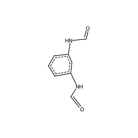 O=CNc1cccc(NC=O)c1